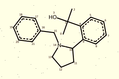 CC(C)(O)c1ccccc1C1CCCN1Cc1ccccc1